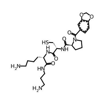 NCCCC[C@H](NC(=O)[C@H](CS)NC(=O)[C@@H]1CCCN1C(=O)c1ccc2c(c1)OCO2)C(=O)NCCCN